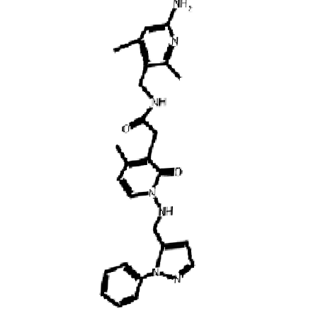 Cc1cc(N)nc(C)c1CNC(=O)Cc1c(C)ccn(NCc2ccnn2-c2ccccc2)c1=O